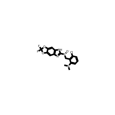 CN(C)c1cccc(Cl)c1C[S+]([O-])c1nc2cc3c(cc2[nH]1)OC(F)(F)O3